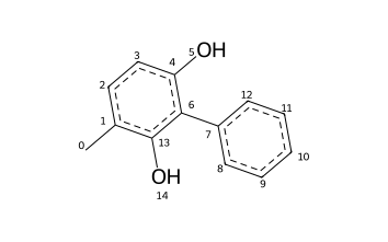 Cc1ccc(O)c(-c2ccccc2)c1O